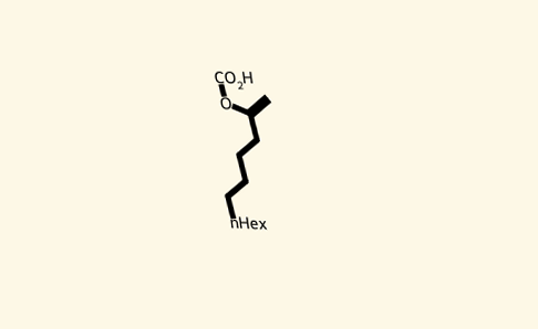 C=C(CCCCCCCCCC)OC(=O)O